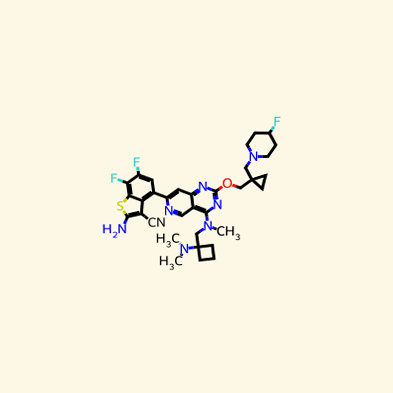 CN(CC1(N(C)C)CCC1)c1nc(OCC2(CN3CCC(F)CC3)CC2)nc2cc(-c3cc(F)c(F)c4sc(N)c(C#N)c34)ncc12